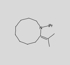 CC(C)=C1CCCCCCCCN1C(C)C